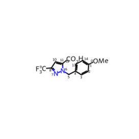 COc1ccc(Cn2nc(C(F)(F)F)cc2C(=O)O)cc1